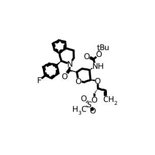 C=C[C@H](COS(C)(=O)=O)O[C@H]1CO[C@@H](C(=O)N2CCc3ccccc3[C@@H]2c2ccc(F)cc2)C[C@@H]1NC(=O)OC(C)(C)C